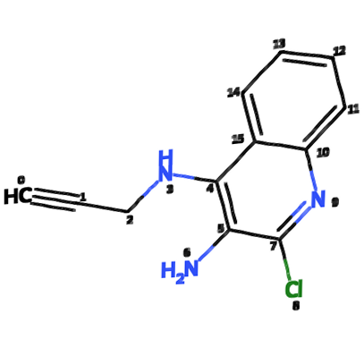 C#CCNc1c(N)c(Cl)nc2ccccc12